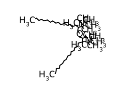 CCCCCCCCCCCCCCCCC(COCC(CCCCCCCCCCCCCCCC)C(C)N(C(C)C)C(C)C)C(C)N(C(C)C)C(C)C